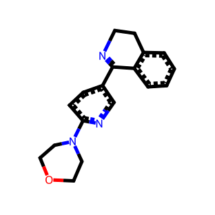 c1ccc2c(c1)CCN=C2c1ccc(N2CCOCC2)nc1